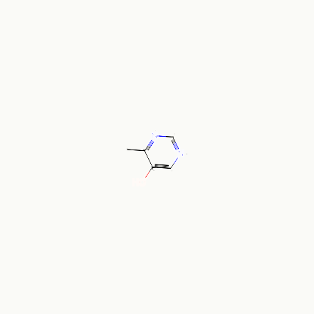 Cc1ncncc1O